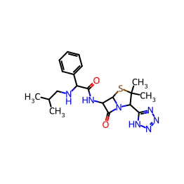 CC(C)CNC(C(=O)NC1C(=O)N2C1SC(C)(C)C2c1nnn[nH]1)c1ccccc1